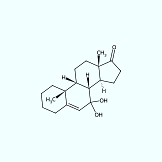 C[C@]12CCCCC1=CC(O)(O)[C@@H]1[C@H]2CC[C@]2(C)C(=O)CC[C@@H]12